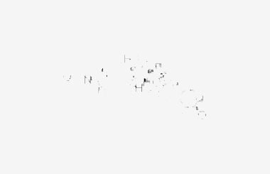 CN(C(=O)N1CCOCC1)C1CC[C@@]2(C)[C@H](CC[C@@H]3[C@@H]2CC[C@]2(C)[C@@H](c4ccc(=O)oc4)CC[C@]32O)C1